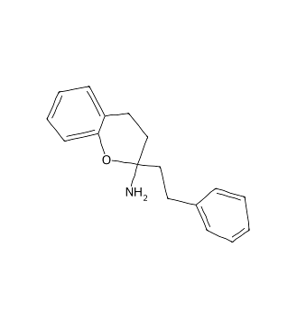 NC1(CCc2ccccc2)CCc2ccccc2O1